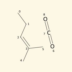 CCC=C(C)C.O=C=O